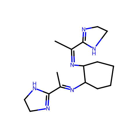 CC(=NC1CCCCC1N=C(C)C1=NCCN1)C1=NCCN1